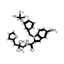 CC(C)(CNC(=O)c1cc2cc(N)ccc2n1Cc1cccc(OC(F)(F)F)c1)CC1CCCO1